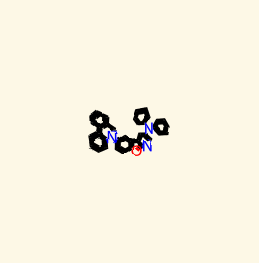 c1ccc(N(c2ccccc2)c2cnc3oc4ccc(N5Cc6ccccc6-c6ccccc65)cc4c3c2)cc1